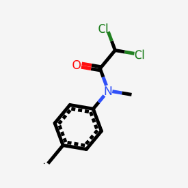 [CH2]c1ccc(N(C)C(=O)C(Cl)Cl)cc1